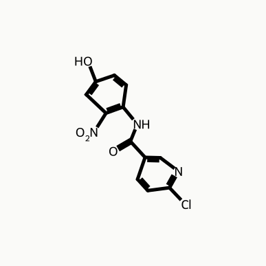 O=C(Nc1ccc(O)cc1[N+](=O)[O-])c1ccc(Cl)nc1